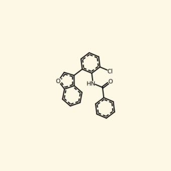 O=C(Nc1c(Cl)cccc1-c1coc2ccccc12)c1ccccc1